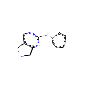 c1ccc(Nc2ncc3c(n2)CNC3)cc1